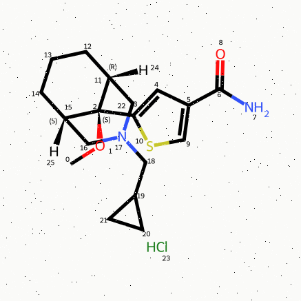 CO[C@]1(c2cc(C(N)=O)cs2)[C@@H]2CCC[C@H]1CN(CC1CC1)C2.Cl